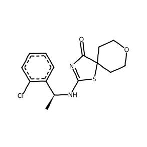 C[C@H](NC1=NC(=O)C2(CCOCC2)S1)c1ccccc1Cl